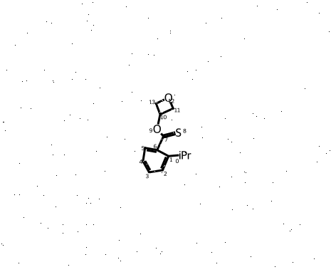 CC(C)c1ccccc1C(=S)OC1COC1